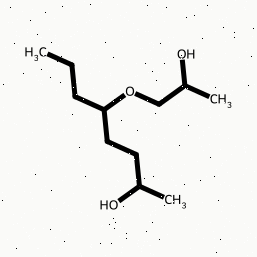 CCCC(CCC(C)O)OCC(C)O